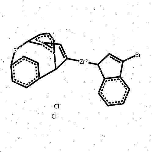 BrC1=C[CH]([Zr+2][C]2=Cc3c4cccc3C2c2ccc(cc2)S4)c2ccccc21.[Cl-].[Cl-]